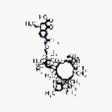 CC[C@H]1OC(=O)[C@H](C)[C@@H](O[C@H]2C[C@@](C)(OC)[C@@H](OCCO/C=C(\C)c3ccc4c(c3)c(=O)c(C(=O)O)cn4CC)[C@H](C)O2)[C@H](C)[C@@H](O[C@@H]2O[C@H](C)C[C@H](N(C)C)[C@H]2O)[C@](C)(O)C[C@@H](C)CN(C)[C@H](C)[C@@H](O)[C@]1(C)O